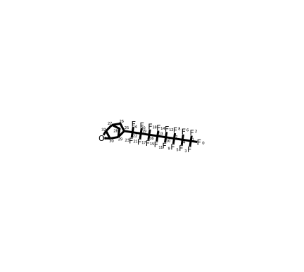 FC(F)(F)C(F)(F)C(F)(F)C(F)(F)C(F)(F)C(F)(F)C(F)(F)C(F)(F)C1CC2CC1C1OC21